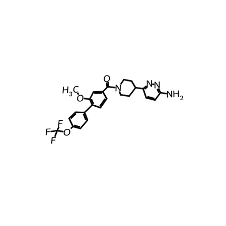 COc1cc(C(=O)N2CCC(c3ccc(N)nn3)CC2)ccc1-c1ccc(OC(F)(F)F)cc1